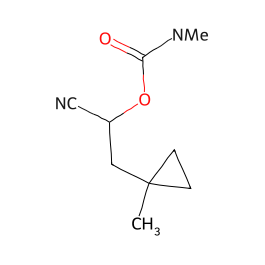 CNC(=O)OC(C#N)CC1(C)CC1